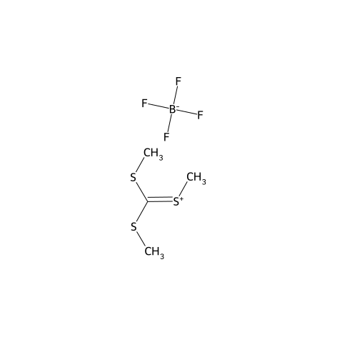 CSC(SC)=[S+]C.F[B-](F)(F)F